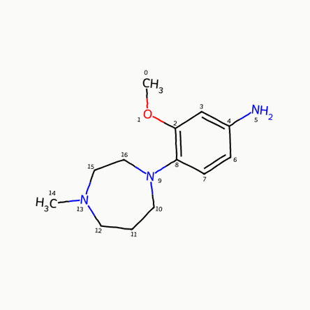 COc1cc(N)ccc1N1CCCN(C)CC1